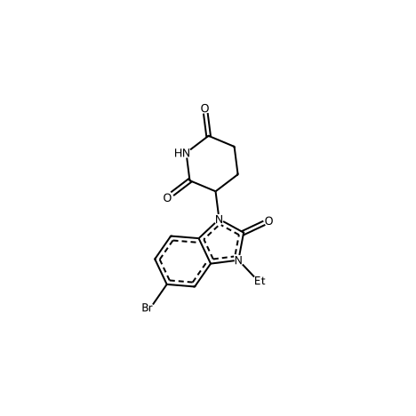 CCn1c(=O)n(C2CCC(=O)NC2=O)c2ccc(Br)cc21